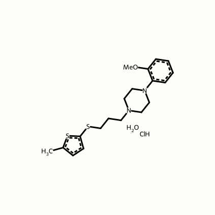 COc1ccccc1N1CCN(CCCSc2ccc(C)s2)CC1.Cl.O